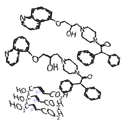 O=C(C(c1ccccc1)c1ccccc1)N1CCN(CC(O)COc2cccc3ncccc23)CC1.O=C(C(c1ccccc1)c1ccccc1)N1CCN(CC(O)COc2cccc3ncccc23)CC1.O=C(O)/C=C/C(=O)O.O=C(O)/C=C/C(=O)O.O=C(O)/C=C/C(=O)O